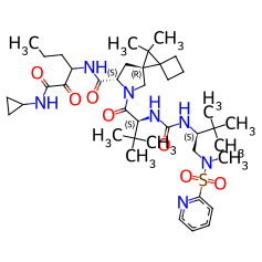 CCCC(NC(=O)[C@@H]1C[C@@]2(CN1C(=O)[C@@H](NC(=O)N[C@H](CN(C)S(=O)(=O)c1ccccn1)C(C)(C)C)C(C)(C)C)C(C)(C)C21CCC1)C(=O)C(=O)NC1CC1